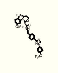 COc1ccc(C(C)C)c(N2/C(=N/C(=O)N/C=C/c3ccc(-c4ncn(-c5ccc(OC(F)(F)F)cc5)n4)cc3)SCCC2C)c1